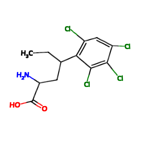 CCC(CC(N)C(=O)O)c1c(Cl)cc(Cl)c(Cl)c1Cl